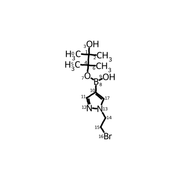 CC(C)(O)C(C)(C)OB(O)c1cnn(CCBr)c1